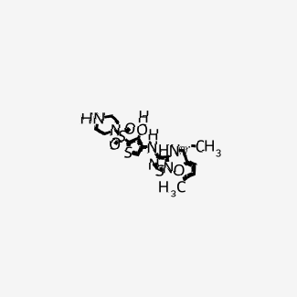 CC[C@@H](Nc1nsnc1Nc1csc(S(=O)(=O)N2CCNCC2)c1O)c1ccc(C)o1